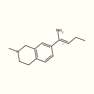 CC/C=C(\N)c1ccc2c(c1)CN(C)CC2